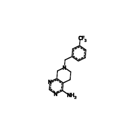 Nc1ncnc2c1CCN(Cc1cccc(C(F)(F)F)c1)C2